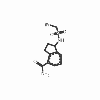 CC(C)CS(=O)(=O)NC1CCc2c(C(N)=O)cccc21